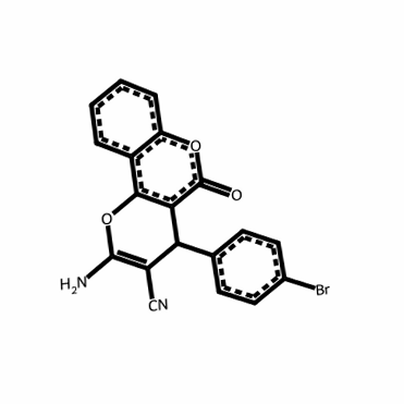 N#CC1=C(N)Oc2c(c(=O)oc3ccccc23)C1c1ccc(Br)cc1